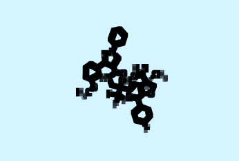 COc1cccc(-c2nn(-c3ccccc3)cc2C(=O)NCC(O)(c2cc3c(c(-c4ccc(F)cc4)n2)OC[C@]3(C)C(N)=O)C(F)(F)F)c1